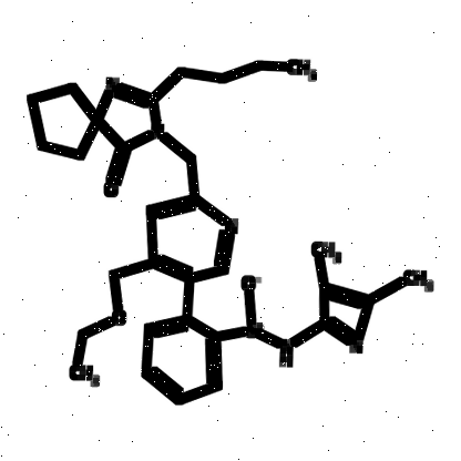 CCCCC1=NC2(CCCC2)C(=O)N1Cc1cc(COCC)c(-c2ccccc2[S+]([O-])NC2=NC(C)=C2C)cn1